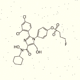 O=C(c1nc(-c2ccc(Cl)cc2Cl)n(-c2ccc(OS(=O)(=O)CCCF)cc2)c1CO)N(O)C1CCCCC1